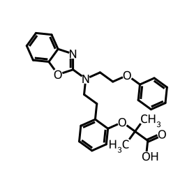 CC(C)(Oc1ccccc1CCN(CCOc1ccccc1)c1nc2ccccc2o1)C(=O)O